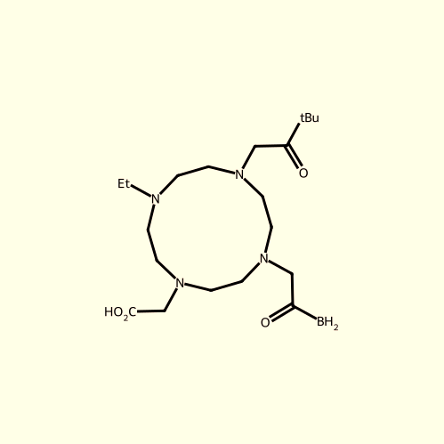 BC(=O)CN1CCN(CC(=O)O)CCN(CC)CCN(CC(=O)C(C)(C)C)CC1